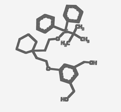 CC(C)(C)[Si](OCCC1(CCOc2cc(CO)cc(CO)c2)CCCCC1)(c1ccccc1)c1ccccc1